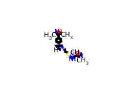 Cc1ncoc1-c1nnc(SCCCN2C[C@H]3C[C@@]3(c3ccc(-c4c(C)noc4C)cc3)C2)n1C